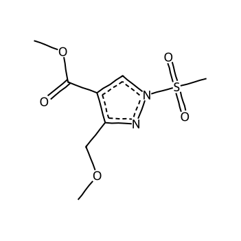 COCc1nn(S(C)(=O)=O)cc1C(=O)OC